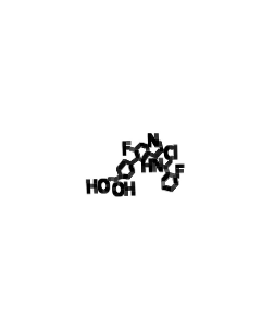 CC(Nc1c(Cl)cnc2cc(F)c(-c3ccc(C(O)CO)cc3)cc12)c1ccccc1F